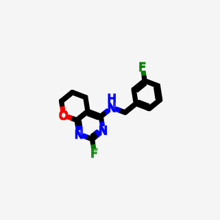 Fc1cccc(CNc2nc(F)nc3c2CCCO3)c1